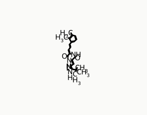 Cc1cccc(/C=C/C=c2\[nH]c(=O)/c(=C/c3nc[nH]c3C(C)(C)C)[nH]c2=O)c1C